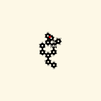 c1ccc(-c2cccc(-c3cc(-c4cccc(-c5ccccc5)c4)cc(-c4cccc(-c5nc(-c6cccc(-c7ccccc7)c6)c6c(n5)c5ccccc5n6-c5ccccc5)c4)c3)c2)cc1